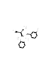 N#CC(C#N)=C(Nc1ccccc1Cl)SCc1cccc(F)c1